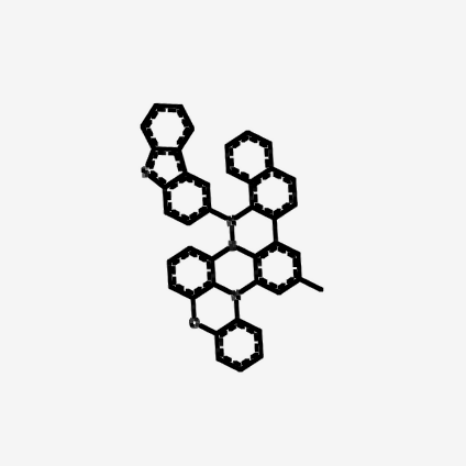 Cc1cc2c3c(c1)N1c4ccccc4Oc4cccc(c41)B3N(c1ccc3sc4ccccc4c3c1)c1c-2ccc2ccccc12